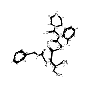 CC[C@H](C)[C@H](NC(=O)OCc1ccccc1)C(=O)N[C@@H](Cc1ccccc1)C(=O)NC(=O)N1CCOCC1